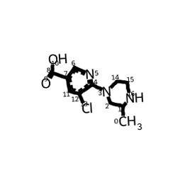 CC1CN(c2ncc(C(=O)O)cc2Cl)CCN1